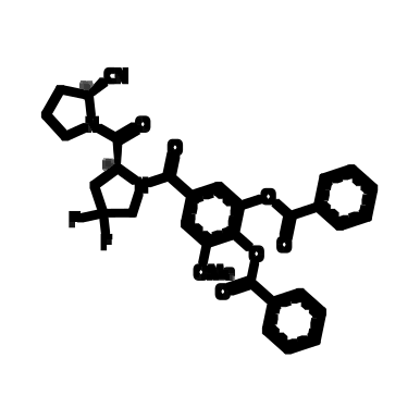 COc1cc(C(=O)N2CC(F)(F)C[C@H]2C(=O)N2CCC[C@H]2C#N)cc(OC(=O)c2ccccc2)c1OC(=O)c1ccccc1